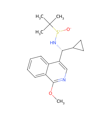 COc1ncc([C@H](N[S+]([O-])C(C)(C)C)C2CC2)c2ccccc12